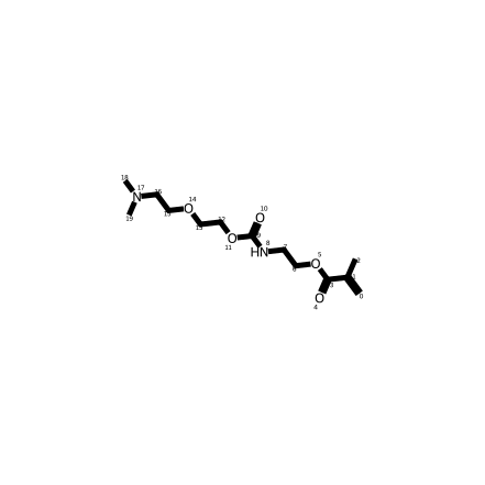 C=C(C)C(=O)OCCNC(=O)OCCOCCN(C)C